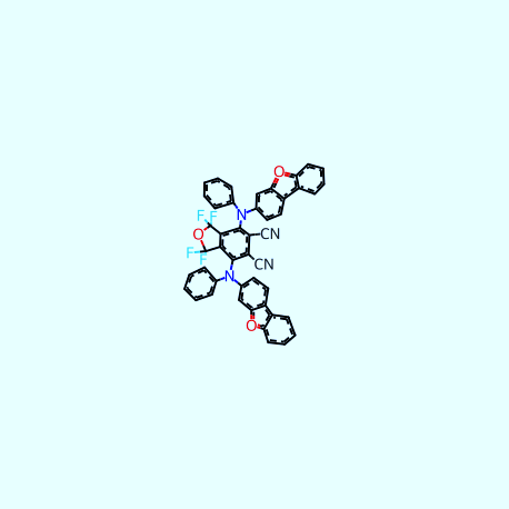 N#Cc1c(C#N)c(N(c2ccccc2)c2ccc3c(c2)oc2ccccc23)c2c(c1N(c1ccccc1)c1ccc3c(c1)oc1ccccc13)C(F)(F)OC2(F)F